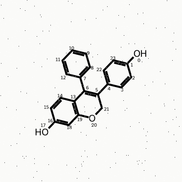 Oc1ccc(C2=C(c3ccccc3)c3ccc(O)cc3OC2)cc1